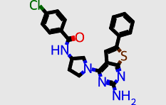 Nc1nc(N2CCC(NC(=O)c3ccc(Cl)cc3)C2)c2cc(-c3ccccc3)sc2n1